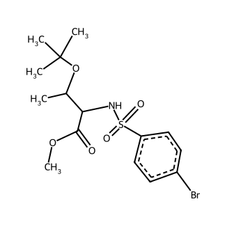 COC(=O)C(NS(=O)(=O)c1ccc(Br)cc1)C(C)OC(C)(C)C